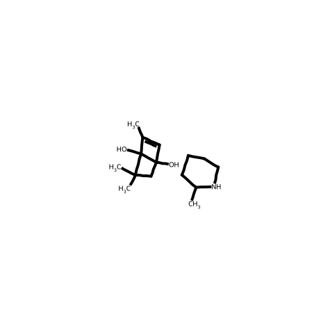 CC1=CC2(O)CC(C)(C)C12O.CC1CCCCN1